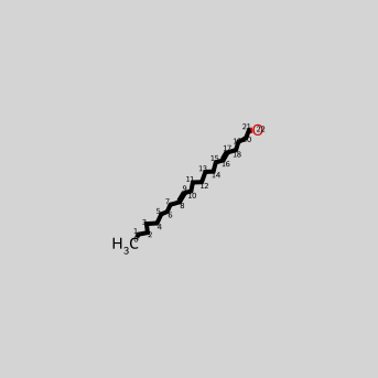 CCCCCCCCC=CCCCCCCC=CCCCC=O